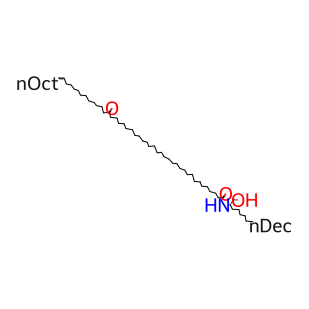 CCCCCCCC/C=C\CCCCCCCCCCCC(=O)CCCCCCCCCCCCCCCCCCCCCCCCCCCCCC(=O)N[C@@H](CO)CCCCCCCCCCCCCCCC